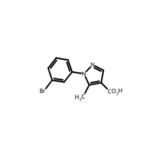 Cc1c(C(=O)O)cnn1-c1cccc(Br)c1